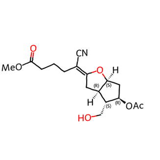 COC(=O)CCCC(C#N)=C1C[C@@H]2[C@@H](CO)[C@H](OC(C)=O)C[C@@H]2O1